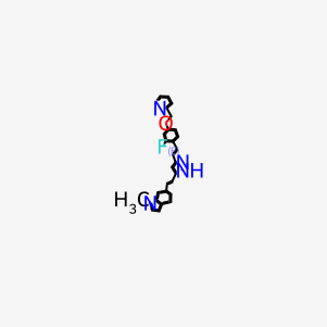 Cn1ccc2ccc(C=Cc3cc(/C=C/c4ccc(OCc5ccccn5)cc4F)n[nH]3)cc21